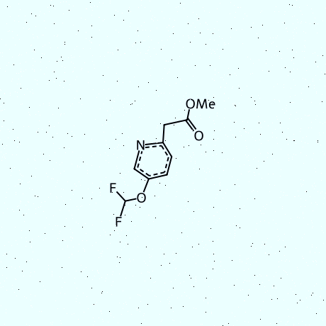 COC(=O)Cc1ccc(OC(F)F)cn1